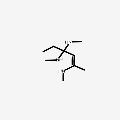 CCC(C=C(C)NC)(NC)NC